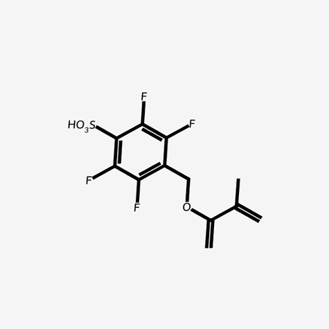 C=C(C)C(=C)OCc1c(F)c(F)c(S(=O)(=O)O)c(F)c1F